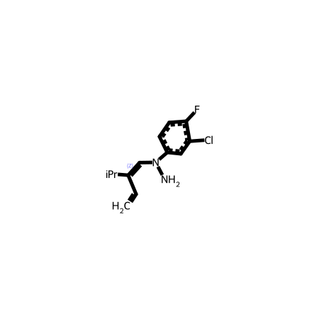 C=C/C(=C\N(N)c1ccc(F)c(Cl)c1)C(C)C